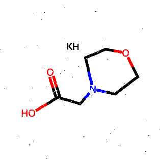 O=C(O)CN1CCOCC1.[KH]